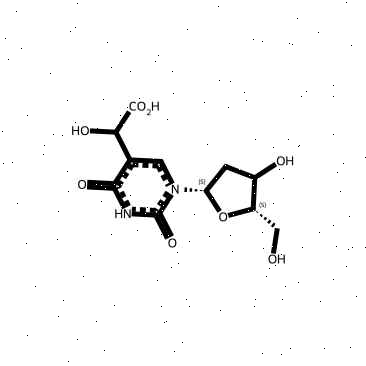 O=C(O)C(O)c1cn([C@@H]2CC(O)[C@H](CO)O2)c(=O)[nH]c1=O